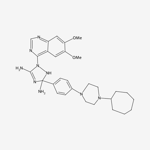 COc1cc2ncnc(N3NC(N)(c4ccc(N5CCN(C6CCCCCC6)CC5)cc4)N=C3N)c2cc1OC